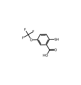 O=C(O)c1cc(OC(F)(F)F)ccc1S